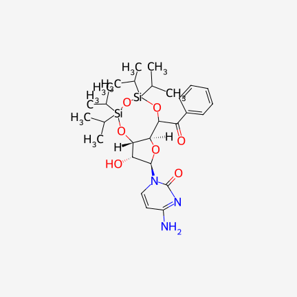 CC(C)[Si]1(C(C)C)OC(C(=O)c2ccccc2)[C@H]2O[C@@H](n3ccc(N)nc3=O)[C@H](O)[C@@H]2O[Si](C(C)C)(C(C)C)O1